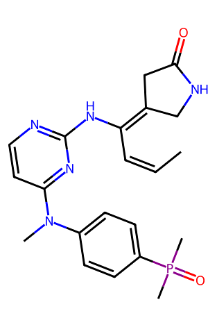 C/C=C\C(Nc1nccc(N(C)c2ccc(P(C)(C)=O)cc2)n1)=C1/CNC(=O)C1